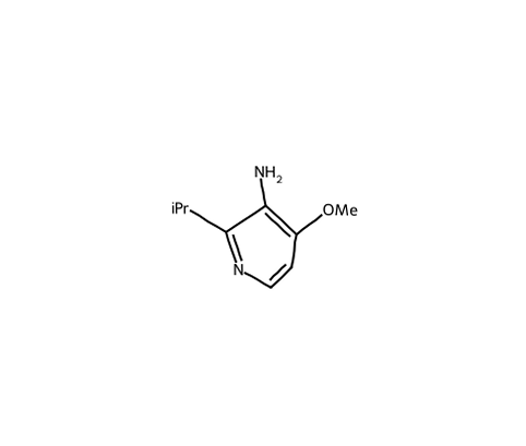 COc1ccnc(C(C)C)c1N